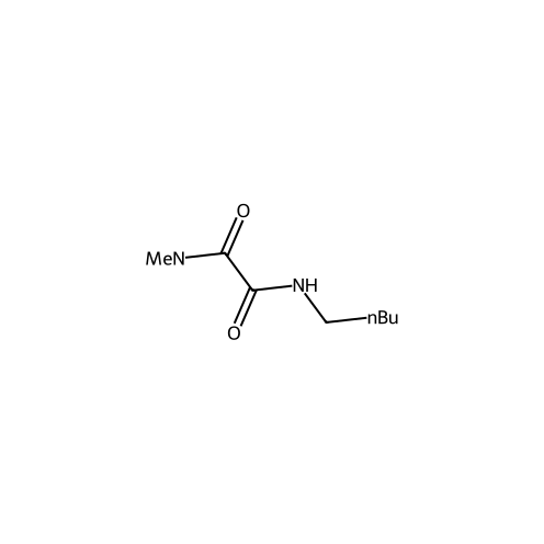 CCCCCNC(=O)C(=O)NC